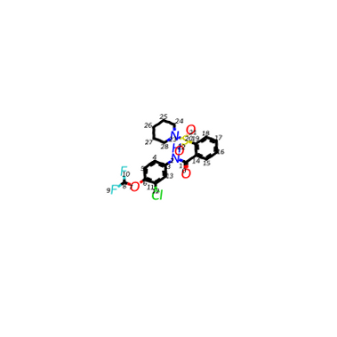 O=C(Nc1ccc(OC(F)F)c(Cl)c1)c1ccccc1S(=O)(=O)N1CCCCC1